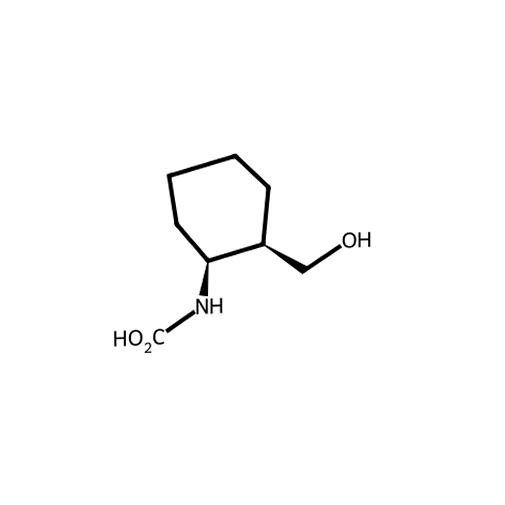 O=C(O)N[C@H]1CCCC[C@H]1CO